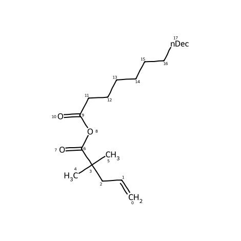 C=CCC(C)(C)C(=O)OC(=O)CCCCCCCCCCCCCCCC